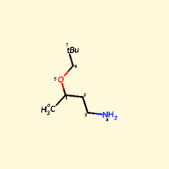 CC(CCN)OCC(C)(C)C